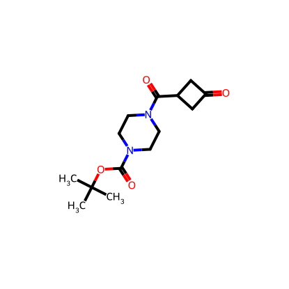 CC(C)(C)OC(=O)N1CCN(C(=O)C2CC(=O)C2)CC1